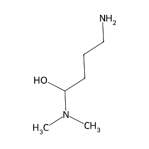 CN(C)C(O)CCCN